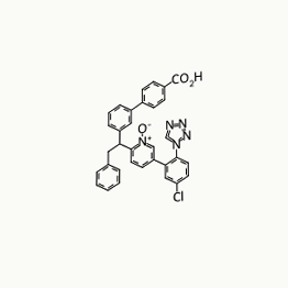 O=C(O)c1ccc(-c2cccc(C(Cc3ccccc3)c3ccc(-c4cc(Cl)ccc4-n4cnnn4)c[n+]3[O-])c2)cc1